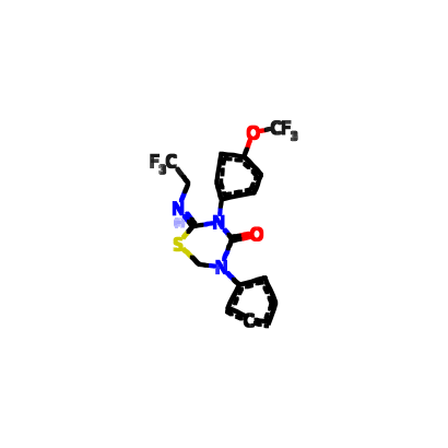 O=C1N(c2ccccc2)CS/C(=N/CC(F)(F)F)N1c1ccc(OC(F)(F)F)cc1